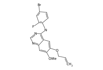 C=CCOc1cc2c([N]c3ccc(Br)cc3F)ncnc2cc1OC